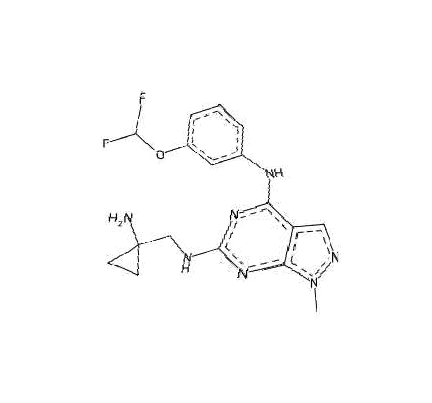 Cn1ncc2c(Nc3cccc(OC(F)F)c3)nc(NCC3(N)CC3)nc21